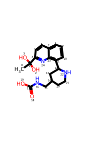 CC(O)(O)c1ccc2cccc(C3CC(CNC(=O)O)CCN3)c2n1